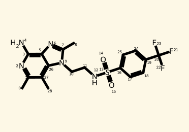 Cc1nc(N)c2nc(C)n(CCNS(=O)(=O)c3ccc(C(F)(F)F)cc3)c2c1C